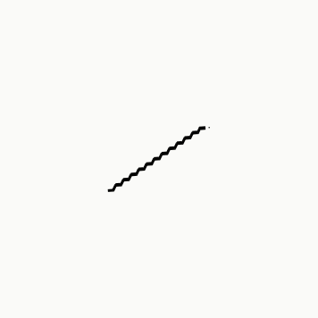 [CH]=C/C=C/C=C/C=C/C=C/C=C/C=C/C=C/C=C/C=C/C=C/C=C/CC